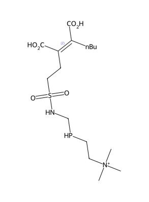 CCCC/C(C(=O)O)=C(\CCS(=O)(=O)NCPCC[N+](C)(C)C)C(=O)O